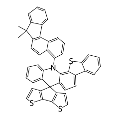 CC1(C)c2ccccc2-c2c1ccc1c(N3c4ccccc4C4(c5ccsc5-c5sccc54)c4ccc5c(sc6ccccc65)c43)cccc21